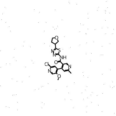 COc1cnc(Cl)cc1-c1cc(C)ncc1C(=O)Nc1nnc(C2CCOC2)s1